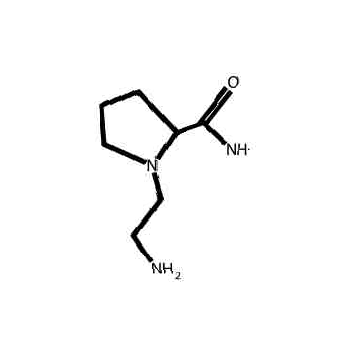 [NH]C(=O)C1CCCN1CCN